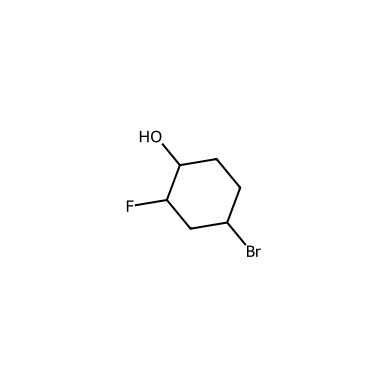 OC1CCC(Br)CC1F